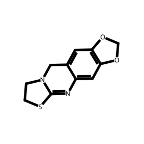 c1c2c(cc3c1OCO3)N=C1SCCN1C2